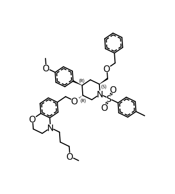 COCCCN1CCOc2ccc(CO[C@H]3CN(S(=O)(=O)c4ccc(C)cc4)[C@H](COCc4ccccc4)C[C@@H]3c3ccc(OC)cc3)cc21